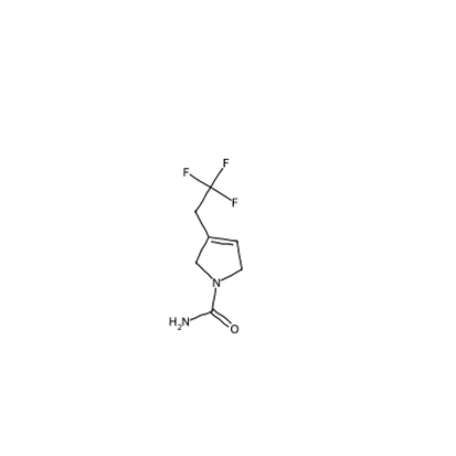 NC(=O)N1CC=C(CC(F)(F)F)C1